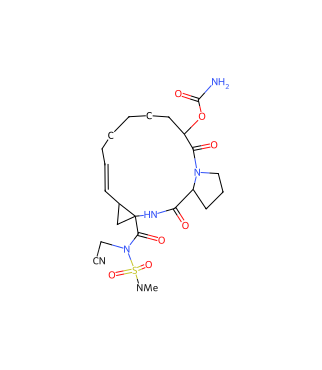 CNS(=O)(=O)N(CC#N)C(=O)C12CC1/C=C/CCCCCC(OC(N)=O)C(=O)N1CCCC1C(=O)N2